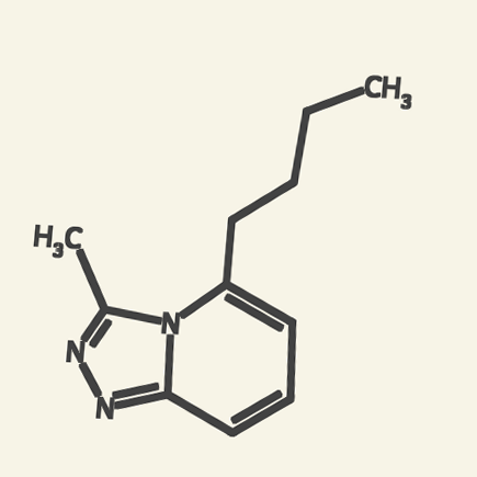 CCCCc1cccc2nnc(C)n12